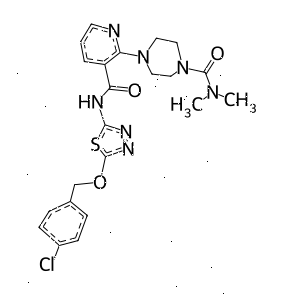 CN(C)C(=O)N1CCN(c2ncccc2C(=O)Nc2nnc(OCc3ccc(Cl)cc3)s2)CC1